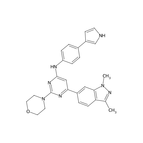 Cc1nn(C)c2cc(-c3cc(Nc4ccc(-c5cc[nH]c5)cc4)nc(N4CCOCC4)n3)ccc12